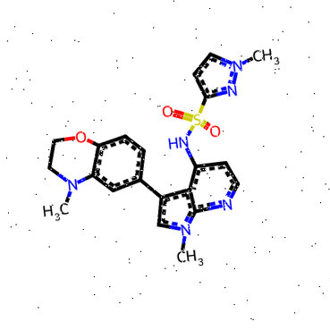 CN1CCOc2ccc(-c3cn(C)c4nccc(NS(=O)(=O)c5ccn(C)n5)c34)cc21